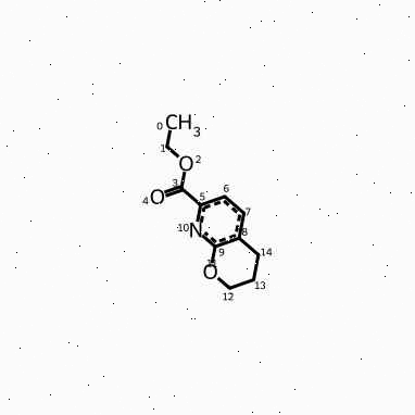 CCOC(=O)c1ccc2c(n1)OCCC2